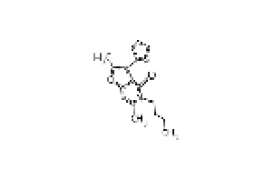 CCCCn1c(C)cc2oc(C)c(-c3cccs3)c2c1=O